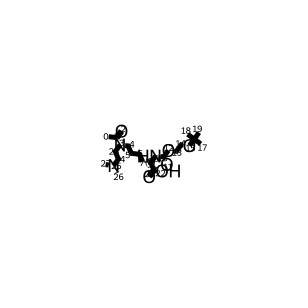 CC(=O)N(CCCC[C@H](NC(=O)OCCOC(C)(C)C)C(=O)O)CCN(C)C